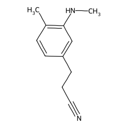 CNc1cc(CCC#N)ccc1C